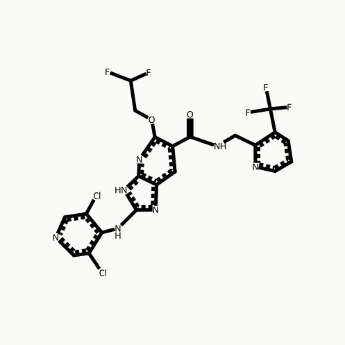 O=C(NCc1ncccc1C(F)(F)F)c1cc2nc(Nc3c(Cl)cncc3Cl)[nH]c2nc1OCC(F)F